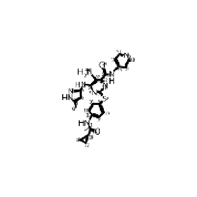 Cc1cc(Nc2nc(Sc3ccc(NC(=O)C4CC4)cc3)nc(C(=O)Nc3ccncc3)c2N)n[nH]1